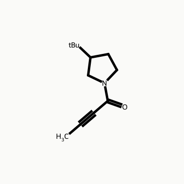 CC#CC(=O)N1CCC(C(C)(C)C)C1